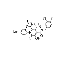 CN(C)C(=O)c1c2c(c(O)c(=O)n1-c1ccc(C#N)cc1)C(=O)N(Cc1ccc(F)c(Cl)c1)CC2